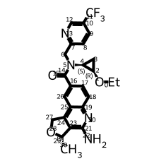 CCO[C@@H]1C[C@@H]1N(Cc1ccc(C(F)(F)F)cn1)C(=O)c1ccc2nc(N)c3c(c2c1)CO[C@H]3C